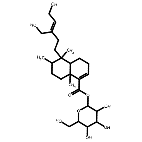 CC1CCC2(C)C(C(=O)OC3OC(CO)C(O)C(O)C3O)=CCCC2C1(C)CC/C(=C/CO)CO